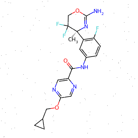 C[C@@]1(c2cc(NC(=O)c3cnc(OCC4CC4)cn3)ccc2F)N=C(N)OCC1(F)F